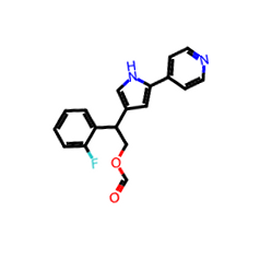 O=COCC(c1c[nH]c(-c2ccncc2)c1)c1ccccc1F